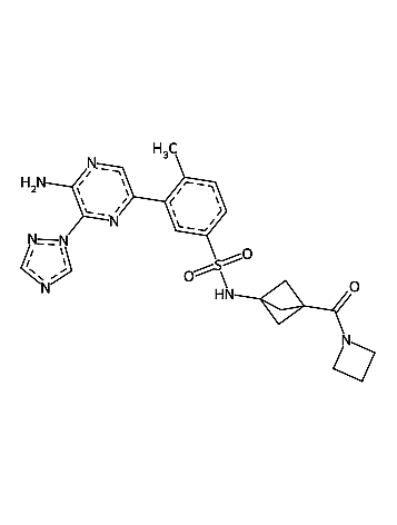 Cc1ccc(S(=O)(=O)NC23CC(C(=O)N4CCC4)(C2)C3)cc1-c1cnc(N)c(-n2cncn2)n1